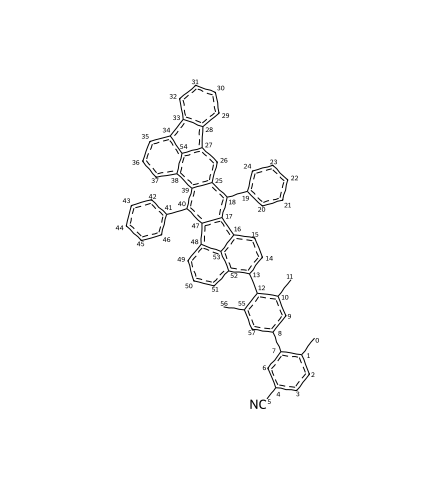 Cc1ccc(C#N)cc1-c1cc(C)c(-c2ccc3c4c(-c5ccccc5)c5cc6c7ccccc7c7cccc(c5c(-c5ccccc5)c4c4cccc2c34)c76)c(C)c1